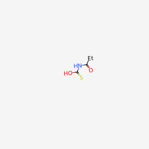 CCC(=O)NC(O)=S